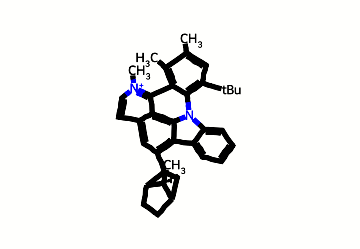 Cc1cc(C(C)(C)C)c2c(c1C)c1c3c(cc[n+]1C)cc(C1CC4CCC1[C@H]4C)c1c4ccccc4n2c13